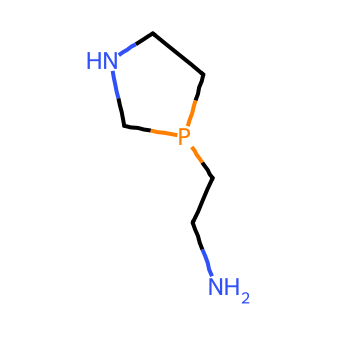 NCCP1CCNC1